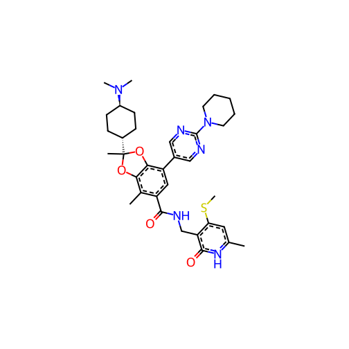 CSc1cc(C)[nH]c(=O)c1CNC(=O)c1cc(-c2cnc(N3CCCCC3)nc2)c2c(c1C)OC(C)([C@H]1CC[C@H](N(C)C)CC1)O2